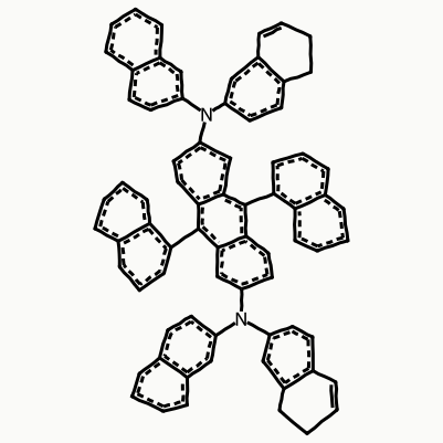 C1=Cc2cc(N(c3ccc4ccccc4c3)c3ccc4c(-c5cccc6ccccc56)c5cc(N(c6ccc7c(c6)CCC=C7)c6ccc7ccccc7c6)ccc5c(-c5cccc6ccccc56)c4c3)ccc2CC1